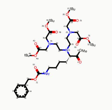 COC(=O)[C@H](CCCCNC(=O)OCc1ccccc1)N(CCN(CC(=O)OC(C)(C)C)CC(=O)OC(C)(C)C)CCN(CC(=O)OC(C)(C)C)CC(=O)OC(C)(C)C